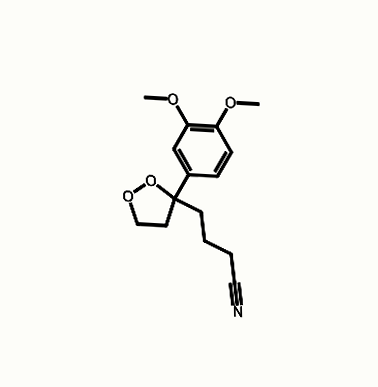 COc1ccc(C2(CCCC#N)CCOO2)cc1OC